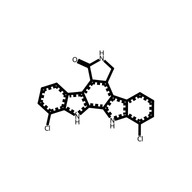 O=C1NCc2c1c1c3cccc(Cl)c3[nH]c1c1[nH]c3c(Cl)cccc3c21